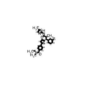 CCN(C)C(=O)c1ccc(-c2ccc([C@@H](C3C=CC=C(F)C3)[C@@H](C)C(=O)Nc3ncc(C)s3)s2)cc1